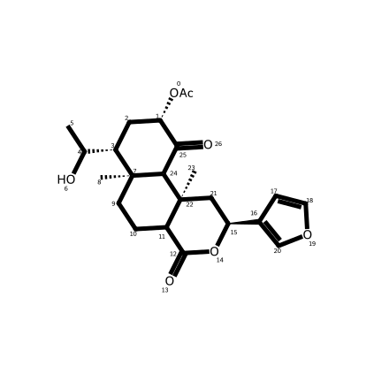 CC(=O)O[C@H]1C[C@@H](C(C)O)[C@]2(C)CCC3C(=O)O[C@H](c4ccoc4)C[C@]3(C)C2C1=O